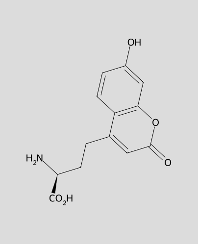 N[C@@H](CCc1cc(=O)oc2cc(O)ccc12)C(=O)O